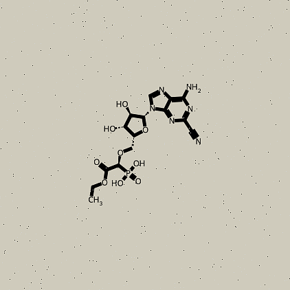 CCOC(=O)[C@@H](OC[C@H]1O[C@@H](n2cnc3c(N)nc(C#N)nc32)[C@H](O)[C@H]1O)P(=O)(O)O